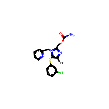 CC(C)c1nc(COC(N)=O)n(Cc2ccccn2)c1Sc1cccc(Cl)c1